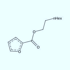 CCCCCCCCOC(=O)c1ccco1